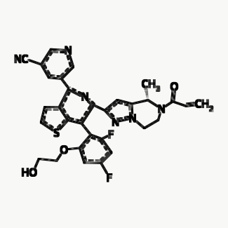 C=CC(=O)N1CCn2nc(-c3nc(-c4cncc(C#N)c4)c4ccsc4c3-c3c(F)cc(F)cc3OCCO)cc2[C@@H]1C